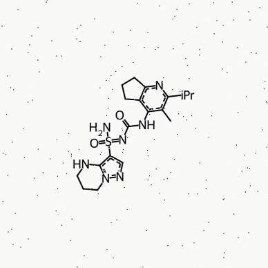 Cc1c(C(C)C)nc2c(c1NC(=O)N=S(N)(=O)c1cnn3c1NCCC3)CCC2